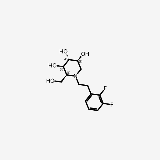 OC[C@H]1[C@@H](O)[C@H](O)[C@@H](O)CN1CCc1cccc(F)c1F